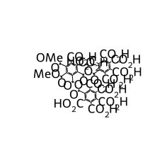 COC(=O)c1c(C(=O)O)c(C(=O)O)c(C(=O)OC(=O)c2c(C(=O)O)c(C(=O)O)c(C(=O)O)c(C(=O)O)c2C(=O)O)c(C(=O)OC(=O)c2c(C(=O)O)c(C(=O)O)c(C(=O)O)c(C(=O)O)c2C(=O)O)c1C(=O)OC